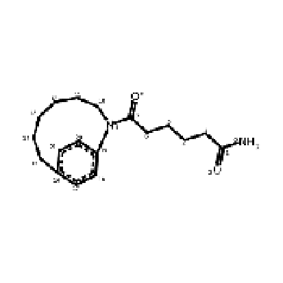 NC(=O)CCCCC(=O)N1CCCCCCc2ccc1cc2